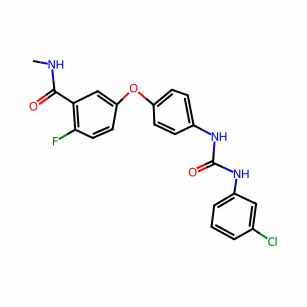 CNC(=O)c1cc(Oc2ccc(NC(=O)Nc3cccc(Cl)c3)cc2)ccc1F